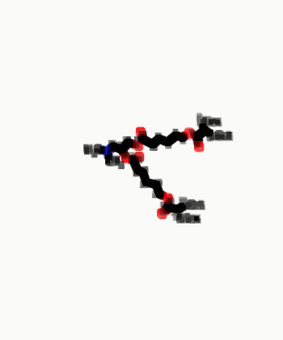 CCCCCCCCC(CCCCCC)C(=O)OCCCCCC(=O)OCC(CN(C)C)OC(=O)CCCCCOC(=O)[C@@H](CCCCCC)CCCCCCCC